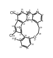 CC(C)c1nccc2c1-n1c(=O)nc(Cl)c3cc(Cl)c(nc31)-c1c(F)cccc1OCC2